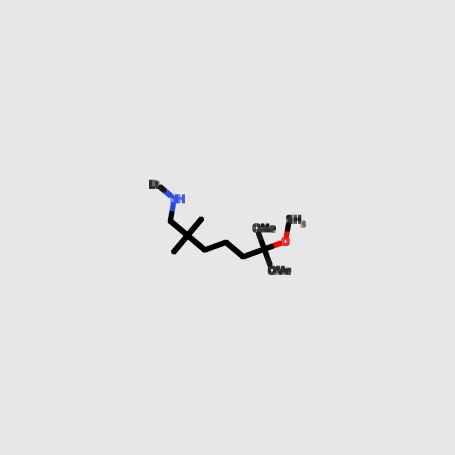 CCNCC(C)(C)CCCC(OC)(OC)O[SiH3]